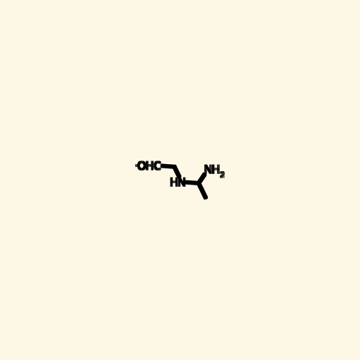 CC(N)NC[C]=O